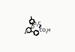 Cc1ccc(O[C@@H]2CCN(C)C[C@@H]2c2ccccc2)cc1.O=C(O)/C=C/C(=O)O